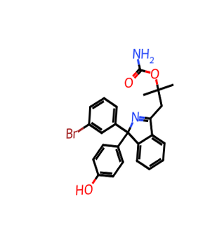 CC(C)(CC1=NC(c2ccc(O)cc2)(c2cccc(Br)c2)c2ccccc21)OC(N)=O